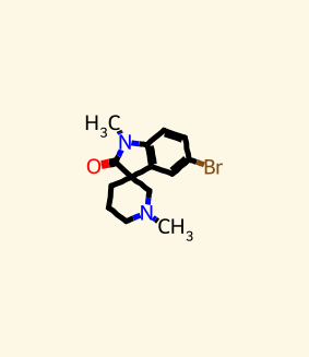 CN1CCCC2(C1)C(=O)N(C)c1ccc(Br)cc12